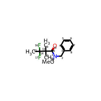 CON(Cc1ccccc1)C(=O)C(C)(C)C(C)(F)F